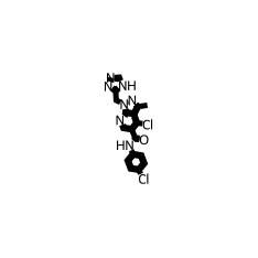 Cc1nn(Cc2nnc[nH]2)c2ncc(C(=O)Nc3ccc(Cl)cc3)c(Cl)c12